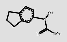 CNC(=O)N(O)c1ccc2c(c1)CCC2